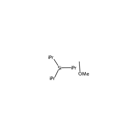 CC(C)[Si](C(C)C)C(C)C.COC